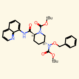 CC(C)(C)OC(=O)N1C[C@H](N(OCc2ccccc2)C(=O)OC(C)(C)C)CC[C@H]1C(=O)Nc1cccc2cccnc12